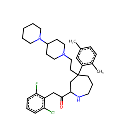 Cc1ccc(C)c(C2(CCN3CCC(N4CCCCC4)CC3)CCCNC(C(=O)Cc3c(F)cccc3Cl)C2)c1